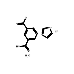 O.O=C([O-])c1cccc(C(=O)O)c1.[K+].c1c[nH]cn1